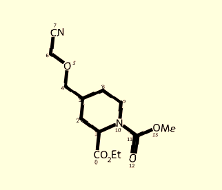 CCOC(=O)C1CC(COCC#N)CCN1C(=O)OC